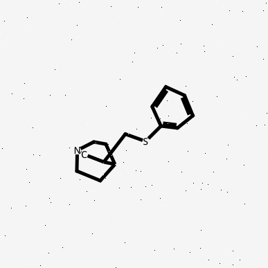 c1ccc(SCC2CN3CCC2CC3)cc1